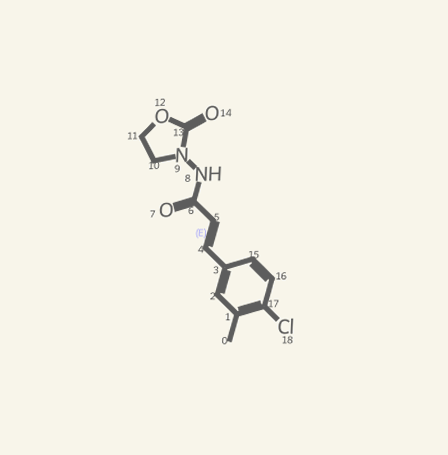 Cc1cc(/C=C/C(=O)NN2CCOC2=O)ccc1Cl